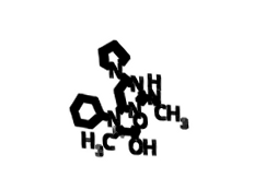 CNc1nc(N(C2CCCCC2)[C@@H](C)C(=O)O)cc(-n2cccc2)n1